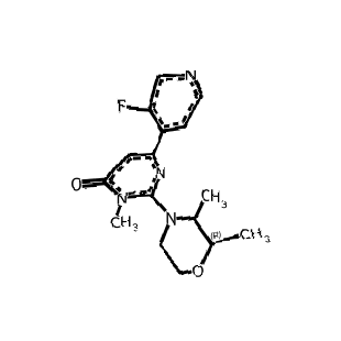 CC1[C@@H](C)OCCN1c1nc(-c2ccncc2F)cc(=O)n1C